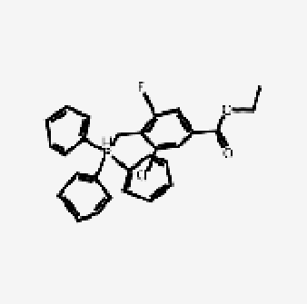 CCOC(=O)c1cc(F)c(C[PH](c2ccccc2)(c2ccccc2)c2ccccc2)c(Cl)c1